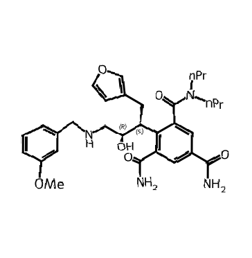 CCCN(CCC)C(=O)c1cc(C(N)=O)cc(C(N)=O)c1[C@H](Cc1ccoc1)[C@@H](O)CNCc1cccc(OC)c1